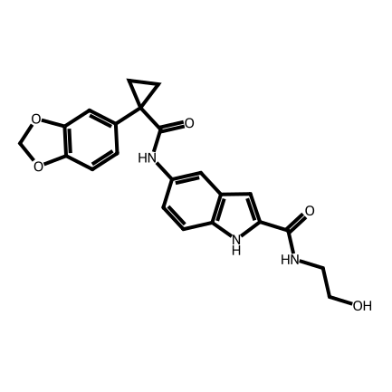 O=C(NCCO)c1cc2cc(NC(=O)C3(c4ccc5c(c4)OCO5)CC3)ccc2[nH]1